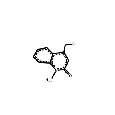 Cn1c(=O)cc(CBr)c2ccccc21